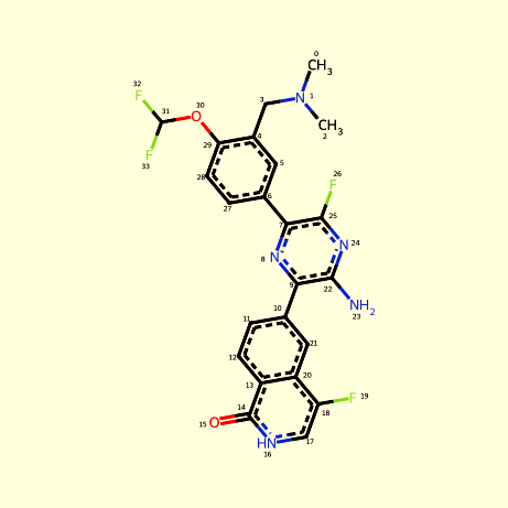 CN(C)Cc1cc(-c2nc(-c3ccc4c(=O)[nH]cc(F)c4c3)c(N)nc2F)ccc1OC(F)F